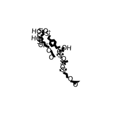 C[Si](O)(CCCOCC1CO1)C[Si](C)(O)C[Si](C)(O)O[Si](C)(C)CCc1ccc(CC[Si](C)(O)O[Si](C)(C)CO[Si](C)(C)CO[Si](C)(C)CCCOCC2CO2)cc1